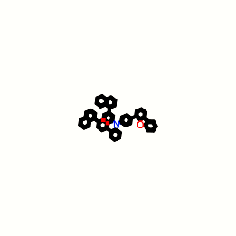 c1cc(-c2cccc3ccccc23)cc(N(c2ccc(-c3cccc4c3oc3ccccc34)cc2)c2ccccc2-c2ccc(-c3cccc4ccccc34)cc2)c1